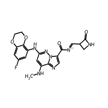 CNc1cc(Nc2cc(F)cc3c2OCCO3)nn2c(C(=O)/N=C/C3CNC3=O)cnc12